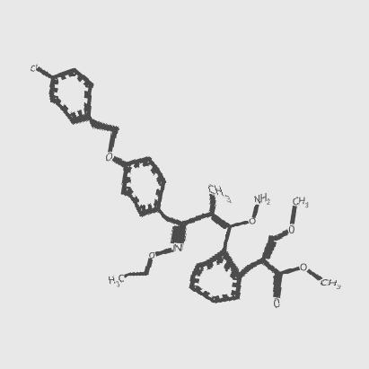 CCON=C(C(C)=C(ON)c1ccccc1C(=COC)C(=O)OC)c1ccc(OCc2ccc(Cl)cc2)cc1